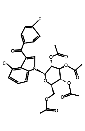 CC(=O)OC[C@H]1O[C@@H](n2cc(C(=O)c3ccc(F)cc3)c3c(Cl)cccc32)[C@H](OC(C)=O)[C@@H](OC(C)=O)[C@@H]1OC(C)=O